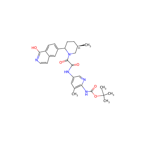 Cc1cc(NC(=O)C(=O)N2C[C@H](C)CCC2c2ccc3c(O)nccc3c2)cnc1NC(=O)OC(C)(C)C